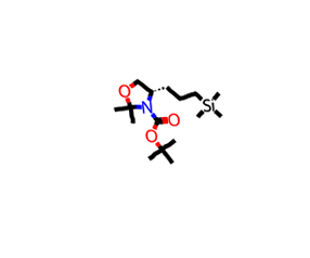 CC(C)(C)OC(=O)N1[C@@H](CCC[Si](C)(C)C)COC1(C)C